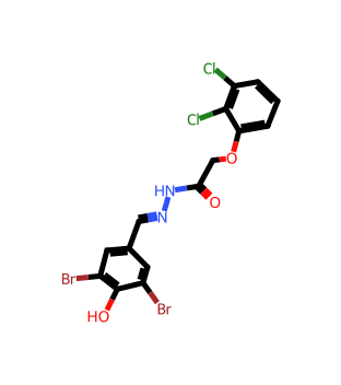 O=C(COc1cccc(Cl)c1Cl)NN=Cc1cc(Br)c(O)c(Br)c1